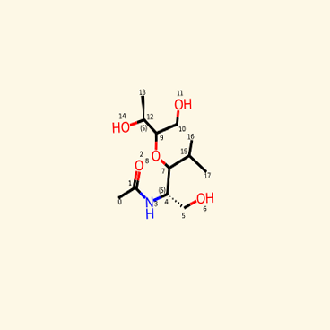 CC(=O)N[C@@H](CO)C(OC(CO)[C@H](C)O)C(C)C